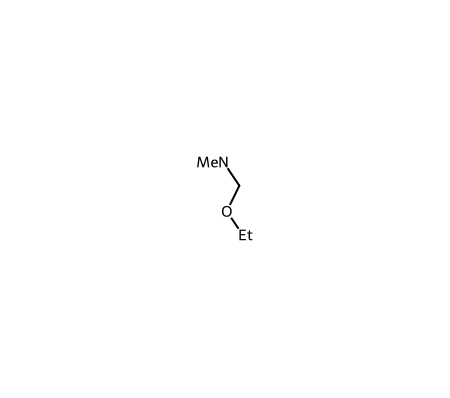 CCOCNC